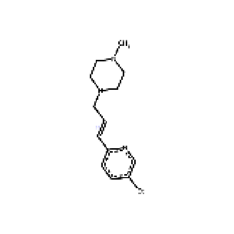 CCc1ccc(/C=C/CN2CCN(C)CC2)nc1